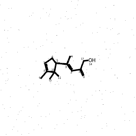 C=C(/C=C(\C)C1CC=C(C)C1(C)C)CO